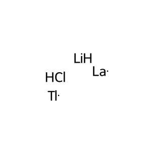 Cl.[La].[LiH].[Tl]